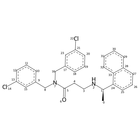 C[C@@H](NCCC(=O)N(Cc1cccc(Cl)c1)Cc1cccc(Cl)c1)c1cccc2ccccc12